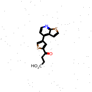 O=C(O)CCC(=O)c1cc(-c2ccnc3sccc23)cs1